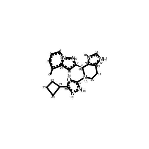 Cc1cccn2nc([C@H]3c4nc[nH]c4CCN3c3nnc(C4CCC4)o3)cc12